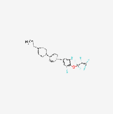 CCCC1CCC(c2ccc(-c3cc(F)c(OC(F)(F)C(F)=C(F)F)c(F)c3)cc2)CC1